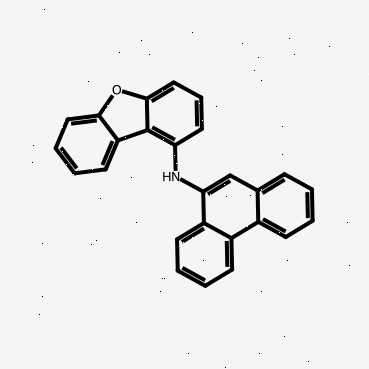 c1ccc2c(c1)cc(Nc1cccc3oc4ccccc4c13)c1ccccc12